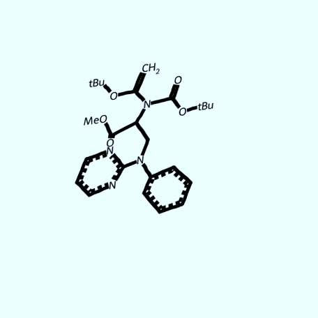 C=C(OC(C)(C)C)N(C(=O)OC(C)(C)C)C(CN(c1ccccc1)c1ncccn1)C(=O)OC